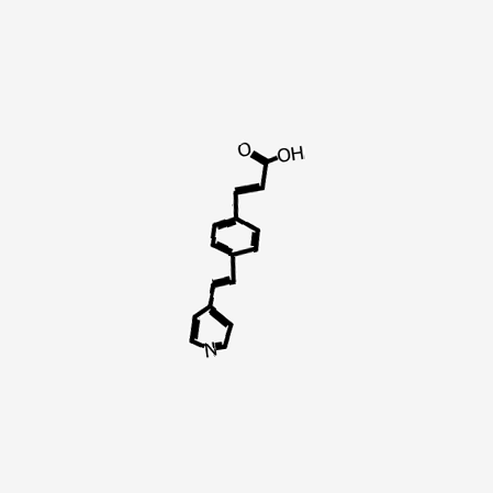 O=C(O)C=Cc1ccc(C=Cc2ccncc2)cc1